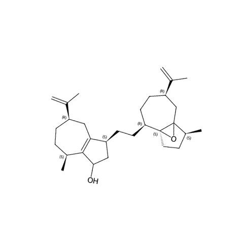 C=C(C)[C@@H]1CC[C@H](C)C2=C(C1)[C@@H](CC[C@H]1CC[C@@H](C(=C)C)CC34O[C@@]13CC[C@@H]4C)CC2O